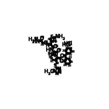 Cl.Cl.Cn1nnnc1SCC1=C(C(=O)OC(c2ccccc2)c2ccccc2)N2C(=O)C(NC(=O)C(=NOCC(=O)NN)c3csc(N)n3)[C@@H]2SC1